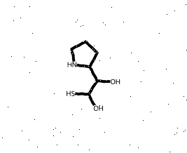 OC(S)C(O)C1CCCN1